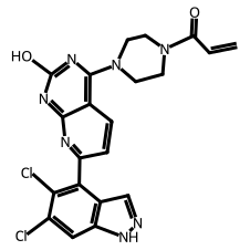 C=CC(=O)N1CCN(c2nc(O)nc3nc(-c4c(Cl)c(Cl)cc5[nH]ncc45)ccc23)CC1